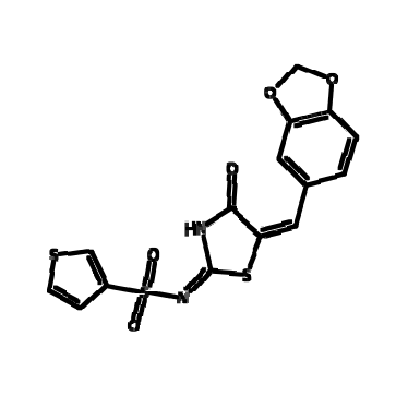 O=C1NC(=NS(=O)(=O)c2ccsc2)SC1=Cc1ccc2c(c1)OCO2